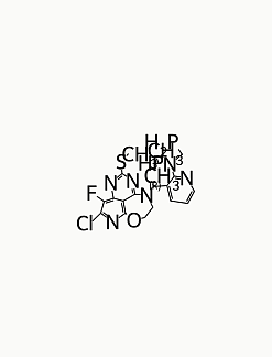 CPN(CP)c1ncccc1[C@@H](C)N1CCOc2nc(Cl)c(F)c3nc(SC)nc1c23